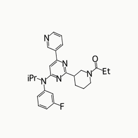 CCC(=O)N1CCCC(c2nc(-c3cccnc3)cc(N(c3cccc(F)c3)C(C)C)n2)C1